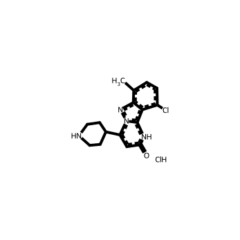 Cc1ccc(Cl)c2c1nn1c(C3CCNCC3)cc(=O)[nH]c21.Cl